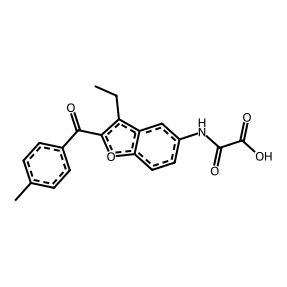 CCc1c(C(=O)c2ccc(C)cc2)oc2ccc(NC(=O)C(=O)O)cc12